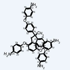 CC(Cc1cc(Oc2ccc(N)cc2)ccc1Oc1ccc(N)cc1)(c1ccc(Oc2ccc(N)cc2)cc1)c1ccc(Oc2ccc(N)cc2)cc1